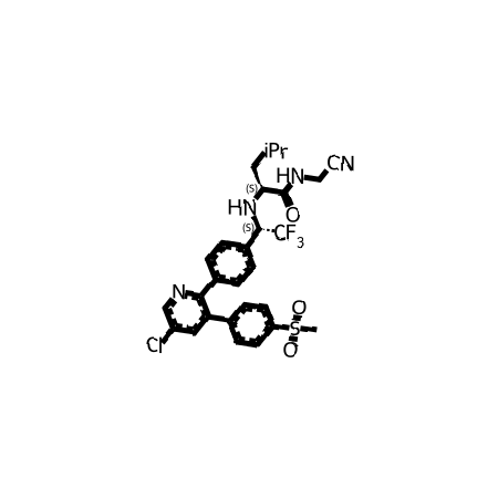 CC(C)C[C@H](N[C@@H](c1ccc(-c2ncc(Cl)cc2-c2ccc(S(C)(=O)=O)cc2)cc1)C(F)(F)F)C(=O)NCC#N